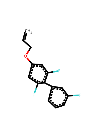 C=CCOc1cc(F)c(-c2cc[c]c(F)c2)c(F)c1